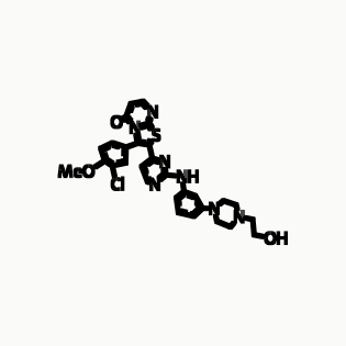 COc1ccc(-c2c(-c3ccnc(Nc4cccc(N5CCN(CCO)CC5)c4)n3)sc3nccc(=O)n23)cc1Cl